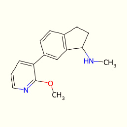 CNC1CCc2ccc(-c3cccnc3OC)cc21